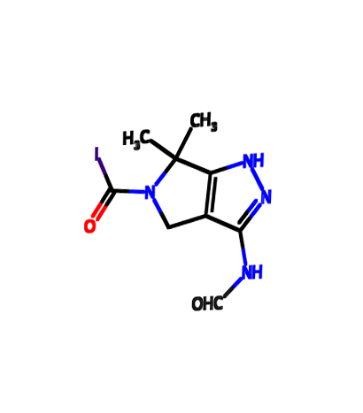 CC1(C)c2[nH]nc(NC=O)c2CN1C(=O)I